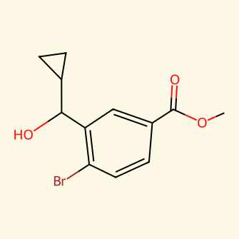 COC(=O)c1ccc(Br)c(C(O)C2CC2)c1